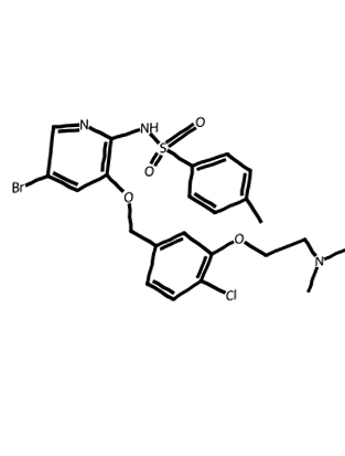 Cc1ccc(S(=O)(=O)Nc2ncc(Br)cc2OCc2ccc(Cl)c(OCCN(C)C)c2)cc1